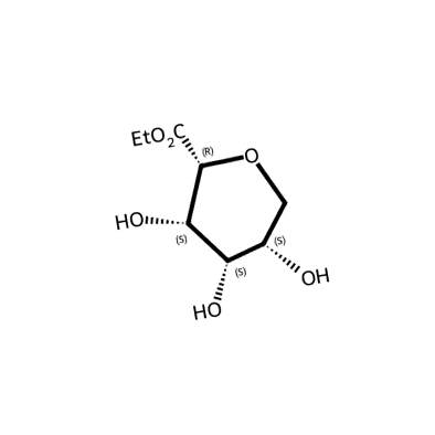 CCOC(=O)[C@@H]1OC[C@H](O)[C@H](O)[C@@H]1O